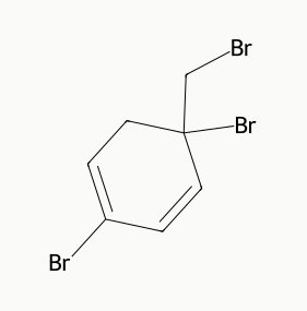 BrCC1(Br)C=CC(Br)=CC1